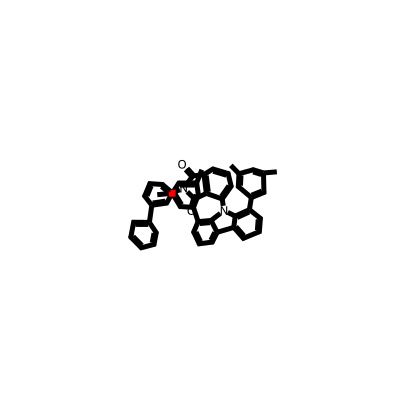 Cc1cc(C)cc(-c2cccc3c4cccc(-c5cc(C)cc(C)c5)c4n(-c4cccc5c4C(=O)N(c4cccc(-c6ccccc6)c4)C5=O)c23)c1